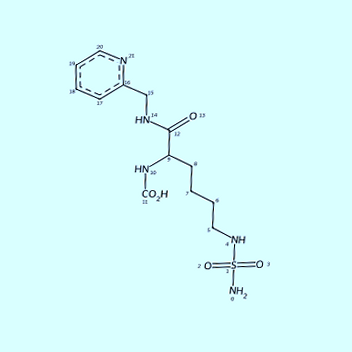 NS(=O)(=O)NCCCCC(NC(=O)O)C(=O)NCc1ccccn1